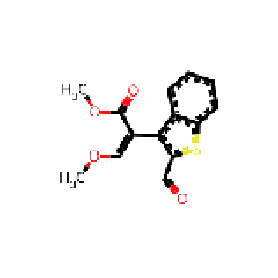 COC=C(C(=O)OC)c1c(C=O)sc2ccccc12